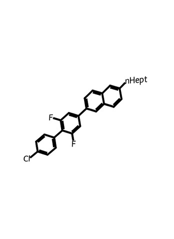 CCCCCCCc1ccc2cc(-c3cc(F)c(-c4ccc(Cl)cc4)c(F)c3)ccc2c1